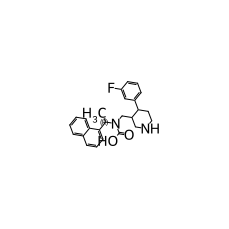 C[C@H](c1cccc2ccccc12)N(CC1CNCCC1c1cccc(F)c1)C(=O)O